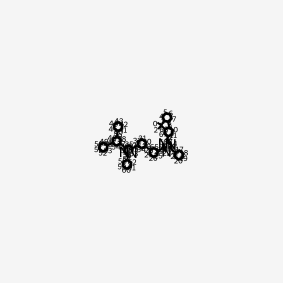 CC1(C)c2ccccc2-c2ccc(-c3nc(-c4ccccc4)nc(-c4cccc(-c5cccc(-c6cc(-c7cc(-c8ccccc8)cc(-c8ccccc8)c7)nc(-c7ccccc7)n6)c5)c4)n3)cc21